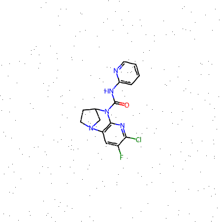 O=C(Nc1ccccn1)N1c2nc(Cl)c(F)cc2N2CCC1C2